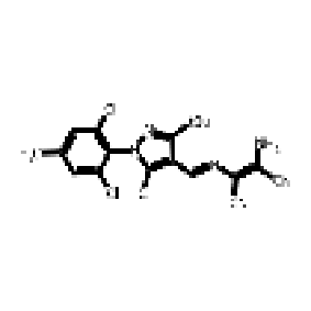 CC(C)(C)c1nn(-c2c(Cl)cc(C(F)(F)F)cc2Cl)c(Cl)c1/C=N/C(C#N)=C(\N)C#N